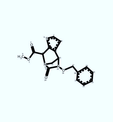 COC(=O)C1c2sccc2C2CN1C(=O)N2OCc1ccccc1